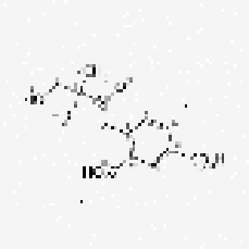 CC(C)(CO)[N+]([O-])=Cc1ccc(S(=O)(=O)O)cc1S(=O)(=O)O